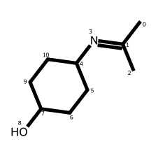 CC(C)=NC1CCC(O)CC1